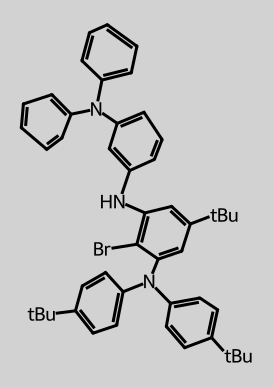 CC(C)(C)c1ccc(N(c2ccc(C(C)(C)C)cc2)c2cc(C(C)(C)C)cc(Nc3cccc(N(c4ccccc4)c4ccccc4)c3)c2Br)cc1